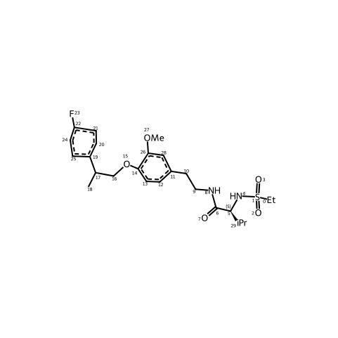 CCS(=O)(=O)N[C@H](C(=O)NCCc1ccc(OCC(C)c2ccc(F)cc2)c(OC)c1)C(C)C